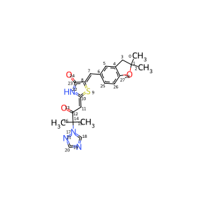 CC1(C)Cc2cc(/C=c3\s/c(=C/C(=O)C(C)(C)n4cncn4)[nH]c3=O)ccc2O1